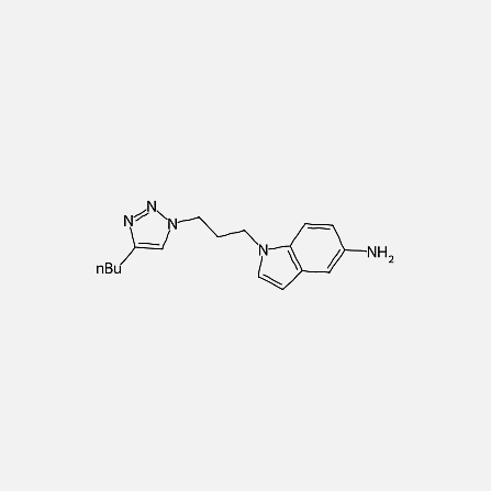 CCCCc1cn(CCCn2ccc3cc(N)ccc32)nn1